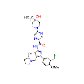 CC[C@@H]1CCCN1Cc1sc(NC(=O)c2cnc(N3CCC(O)(C(=O)O)CC3)cn2)nc1-c1ccc(OC)c(CF)c1